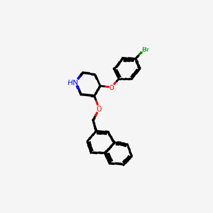 Brc1ccc(OC2CCNCC2OCc2ccc3ccccc3c2)cc1